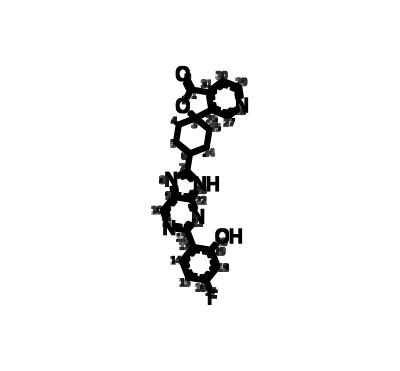 O=C1OC2(CCC(c3nc4cnc(-c5ccc(F)cc5O)nc4[nH]3)CC2)c2cnccc21